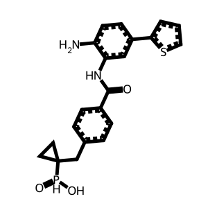 Nc1ccc(-c2cccs2)cc1NC(=O)c1ccc(CC2([PH](=O)O)CC2)cc1